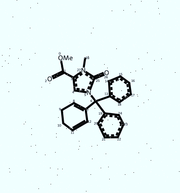 COC(=O)c1cn(C(C2=CCCC=C2)(c2ccccc2)c2ccccc2)c(=O)n1C